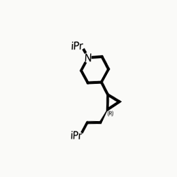 CC(C)CC[C@@H]1CC1C1CCN(C(C)C)CC1